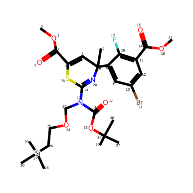 COC(=O)C1=CC(C)(c2cc(Br)cc(C(=O)OC)c2F)N=C(N(COCC[Si](C)(C)C)C(=O)OC(C)(C)C)S1